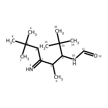 CC(C(=N)CC(C)(C)C)C(NC=O)C(C)(C)C